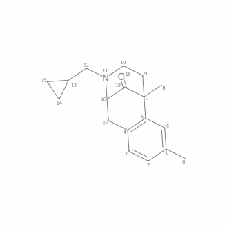 Cc1ccc2c(c1)C1(C)CCN(CC3CC3)C(C2)C1=O